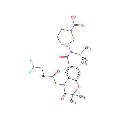 Cc1cc2c(cc1C(=O)N(C(C)C)[C@@H]1CCCN(C(=O)O)C1)N(CC(=O)NCC(F)F)C(=O)C(C)(C)O2